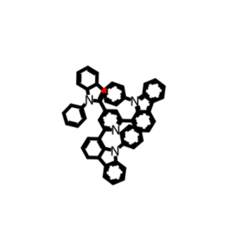 C1=CCCC(N2C(c3cc(C4=C5C(CC=C4)c4ccccc4N5c4ccccc4)nc(-c4cccc5c6ccccc6n(-c6ccccc6)c45)c3)=CC3C=CC=CC32)=C1